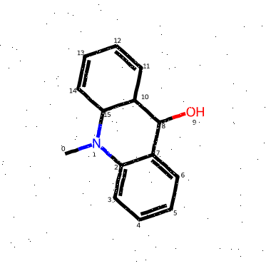 CN1c2ccccc2C(O)C2C=CC=CC21